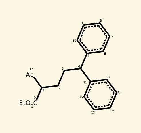 CCOC(=O)C(CCC(c1ccccc1)c1ccccc1)C(C)=O